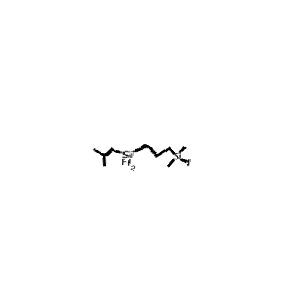 CC(C)=C[SiH2]CCC[Si](C)(C)I